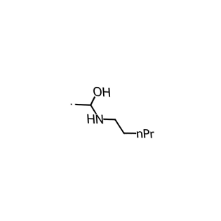 [CH2]C(O)NCCCCC